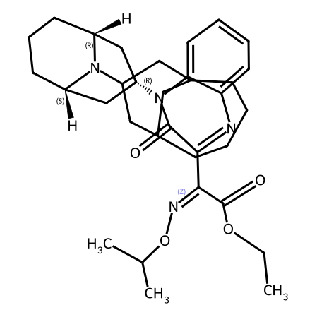 CCOC(=O)/C(=N\OC(C)C)c1nc2ccccc2n([C@H]2C[C@H]3CCC[C@@H](C2)N3C2CC3CCCCC(C3)C2)c1=O